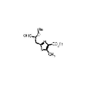 CCOC(=O)c1nc(CN(C=O)OC(C)(C)C)sc1C